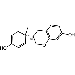 CC1([C@H]2COc3cc(O)ccc3C2)C=CC(O)=CC1